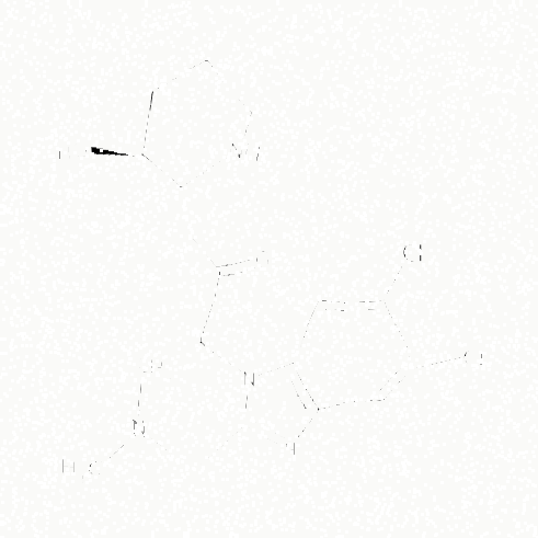 CN(C)Cc1nc2cc(Cl)c(Cl)cc2n1CC(=O)C[C@H]1NCCC[C@@H]1O